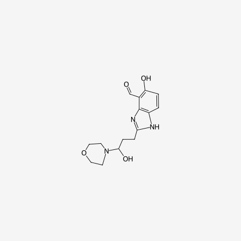 O=Cc1c(O)ccc2[nH]c(CCC(O)N3CCOCC3)nc12